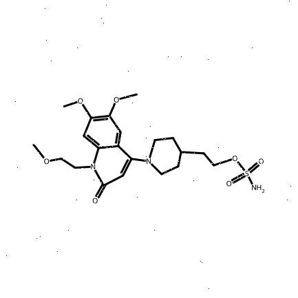 COCCn1c(=O)cc(N2CCC(CCOS(N)(=O)=O)CC2)c2cc(OC)c(OC)cc21